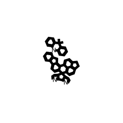 CC1(C)c2ccccc2N(c2cccc3c2Cc2c-3ccc3c2-c2ccc4c5c(ccc(c25)C32c3cccnc3-c3ncccc32)CC4)c2ccccc21